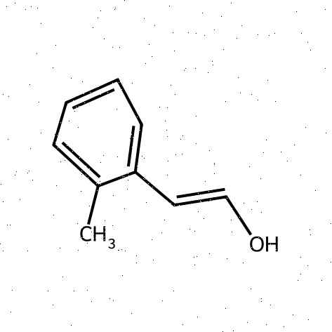 Cc1ccccc1C=CO